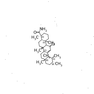 C[C@@H]1CC[C@]2(C)CC[C@]3(C)C(=CC(=O)C4[C@@]5(C)CCC[C@](C)(C(N)=O)C5CC[C@]43C)C2[C@H]1C